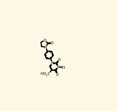 CCn1c(=O)c(C(=O)O)cn(-c2ccc(N3CCOC3=O)cc2)c1=O